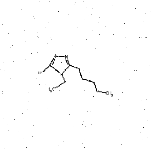 CCCCCc1nnc(S)n1CC